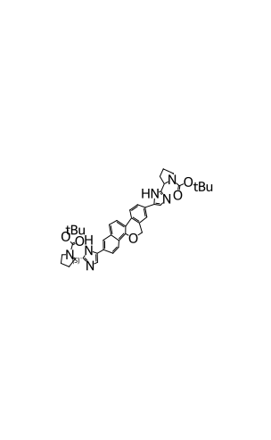 CC(C)(C)OC(=O)N1CCCC1c1ncc(-c2ccc3c(c2)COc2c-3ccc3cc(-c4cnc([C@@H]5CCCN5C(=O)OC(C)(C)C)[nH]4)ccc23)[nH]1